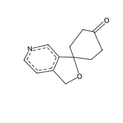 O=C1CCC2(CC1)OCc1ccncc12